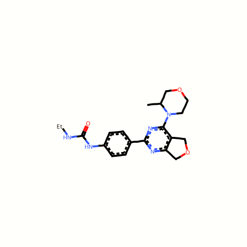 CCNC(=O)Nc1ccc(-c2nc3c(c(N4CCOCC4C)n2)COC3)cc1